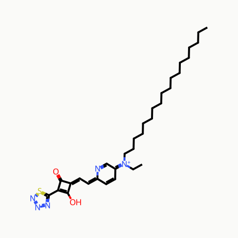 CCCCCCCCCCCCCCCCCC/[N+](CC)=C1C=C/C(=C/C=C2/C(=O)C(c3nnns3)=C2O)N=C/1